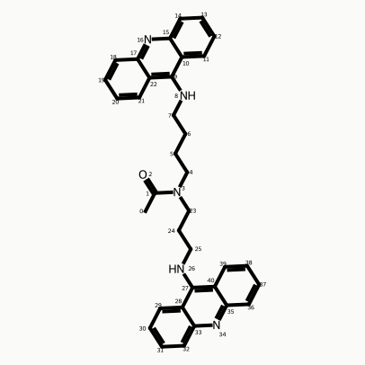 CC(=O)N(CCCCNc1c2ccccc2nc2ccccc12)CCCNc1c2ccccc2nc2ccccc12